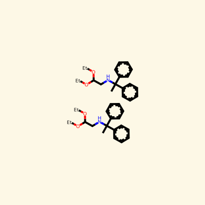 CCOC(CNC(C)(c1ccccc1)c1ccccc1)OCC.CCOC(CNC(C)(c1ccccc1)c1ccccc1)OCC